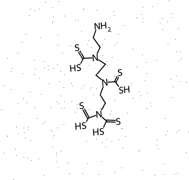 NCCN(CCN(CCN(C(=S)S)C(=S)S)C(=S)S)C(=S)S